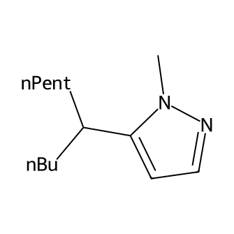 CCCCCC(CCCC)c1ccnn1C